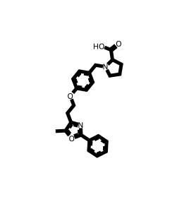 Cc1oc(-c2ccccc2)nc1CCOc1ccc(CN2CCCC2C(=O)O)cc1